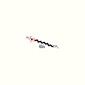 CCCCCCCCCCCCOC(C)=O.N.[NaH]